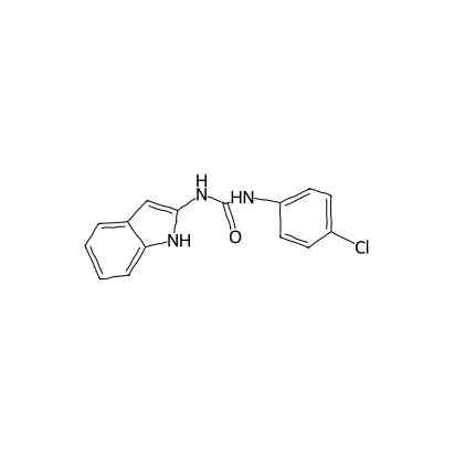 O=C(Nc1ccc(Cl)cc1)Nc1cc2ccccc2[nH]1